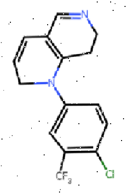 FC(F)(F)c1cc(N2CC=CC3=C2CCN=C3)ccc1Cl